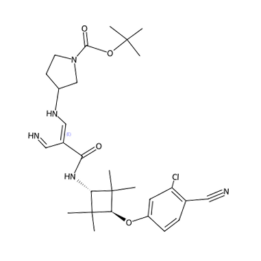 CC(C)(C)OC(=O)N1CCC(N/C=C(\C=N)C(=O)N[C@H]2C(C)(C)[C@H](Oc3ccc(C#N)c(Cl)c3)C2(C)C)C1